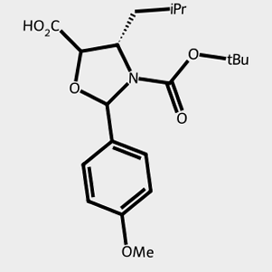 COc1ccc(C2OC(C(=O)O)[C@H](CC(C)C)N2C(=O)OC(C)(C)C)cc1